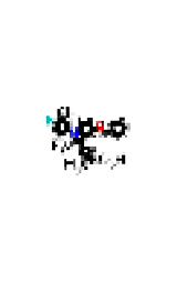 Cc1cc(-n2c(C(F)(F)F)c(C3CC(C)(C(=O)O)C3)c3cc(OCc4ccccc4)ccc32)ccc1F